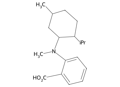 CC1CCC(C(C)C)C(N(C)c2ccccc2C(=O)O)C1